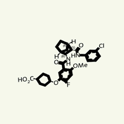 COc1cc(F)c(O[C@H]2CC[C@@H](C(=O)O)CC2)cc1C(=O)N[C@@H]1[C@H]2CC[C@H](C2)[C@@H]1C(=O)Nc1cccc(Cl)c1